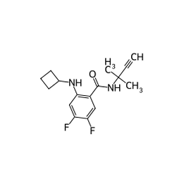 C#CC(C)(C)NC(=O)c1cc(F)c(F)cc1NC1CCC1